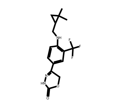 CC1(C)CC1CNc1ccc(C2=NNC(=O)OC2)cc1C(F)(F)F